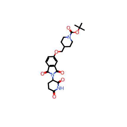 CC(C)(C)OC(=O)N1CCC(COc2ccc3c(c2)C(=O)N(C2CCC(=O)NC2=O)C3=O)CC1